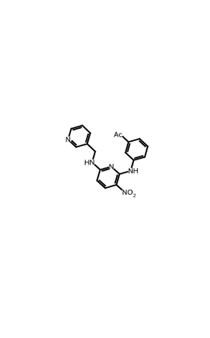 CC(=O)c1cccc(Nc2nc(NCc3cccnc3)ccc2[N+](=O)[O-])c1